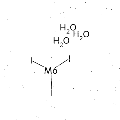 O.O.O.[I][Mo]([I])[I]